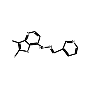 Cc1c(I)sc2c(NN=Cc3cccnc3)ncnc12